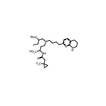 COC(CF)CN(CCCCc1ccc2c(n1)NCCC2)CCC(NC(=O)CC1(C(F)(F)F)CC1)C(=O)O